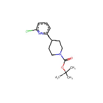 CC(C)(C)OC(=O)N1CCC(c2cccc(Cl)n2)CC1